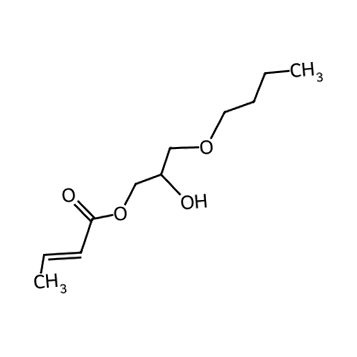 CC=CC(=O)OCC(O)COCCCC